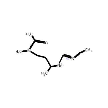 CC/N=C/NC(C)CCN(C)C(C)=O